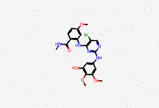 CNC(=O)c1ccc(OC)cc1Nc1nc(Nc2cc(O)c(OC)c(OC)c2)ncc1Br